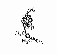 C=C(OCC)c1ccc(/C(C)=C/C=C(C)/C=c2/sc3n(c2=O)C(c2ccccc2OC)C(C(=O)OCC)=C(C)N=3)cc1